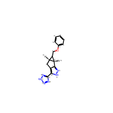 c1ccc(OCC2[C@H]3Cc4c(n[nH]c4-c4nn[nH]n4)[C@@H]23)cc1